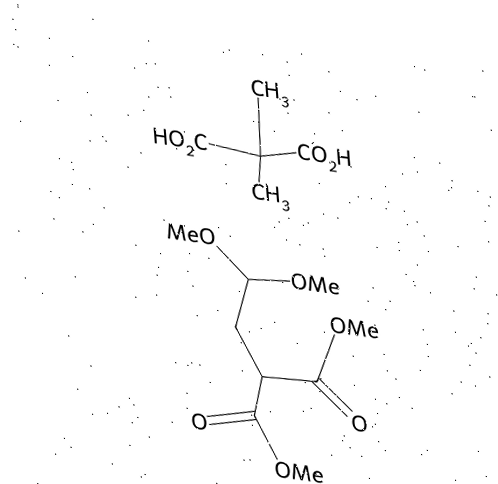 CC(C)(C(=O)O)C(=O)O.COC(=O)C(CC(OC)OC)C(=O)OC